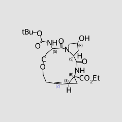 CCOC(=O)[C@@]12C[C@H]1/C=C\CCOCC[C@H](NC(=O)OC(C)(C)C)C(=O)N1C[C@H](O)C[C@H]1C(=O)N2